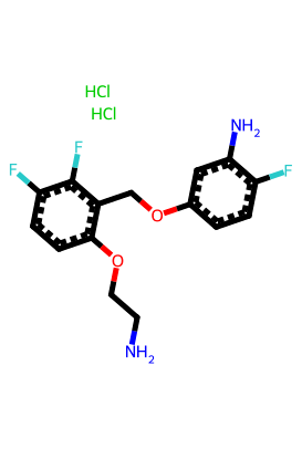 Cl.Cl.NCCOc1ccc(F)c(F)c1COc1ccc(F)c(N)c1